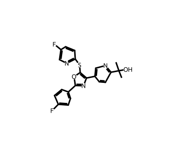 CC(C)(O)c1ccc(-c2nc(-c3ccc(F)cc3)oc2Sc2ccc(F)cn2)cn1